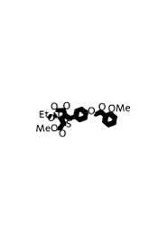 CCON1C(=O)C(=O)c2c(-c3ccc(OCC(=O)c4ccccc4OC)cc3)sc(C(=O)OC)c21